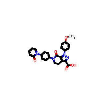 COc1ccc(-n2nc(C(=O)O)c3c2C(=O)N(c2ccc(-n4ccccc4=O)cc2)CC3)cc1